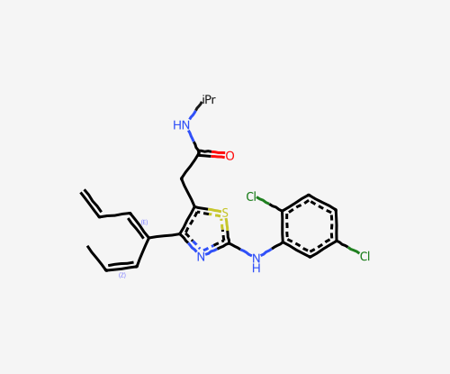 C=C/C=C(\C=C/C)c1nc(Nc2cc(Cl)ccc2Cl)sc1CC(=O)NC(C)C